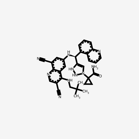 CC(C)(C)CNc1c(C#N)cnc2c(C#N)cc(N[C@H](C3=CN(C4(C(N)=O)CC4)NN3)c3cccc4ncccc34)cc12